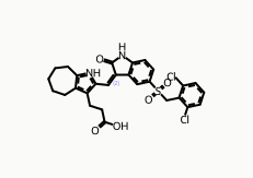 O=C(O)CCc1c(/C=C2\C(=O)Nc3ccc(S(=O)(=O)Cc4c(Cl)cccc4Cl)cc32)[nH]c2c1CCCCC2